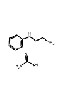 NC(=S)S.NCCNc1ccccc1